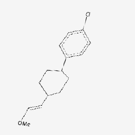 COC=CC1CCC(c2ccc(Cl)cc2)CC1